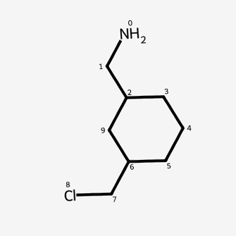 NCC1CCCC(CCl)C1